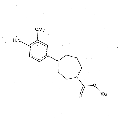 COc1cc(N2CCCN(C(=O)OC(C)(C)C)CC2)ccc1N